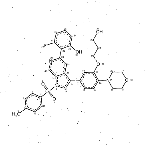 Cc1ccc(S(=O)(=O)n2nc(-c3ccc(N4CCOCC4)c(OCCCO)c3)c3cc(-c4c(O)cccc4F)ncc32)cc1